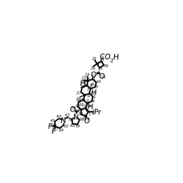 CC(C)C1=C2[C@H]3CC[C@@H]4[C@@]5(C)CC[C@H](OC(=O)[C@H]6C[C@@H](C(=O)O)C6(C)C)C(C)(C)[C@@H]5CC[C@@]4(C)[C@]3(C)CC[C@@]2(C(=O)N2CCC[C@H]2CN2CCC(F)(F)CC2)CC1=O